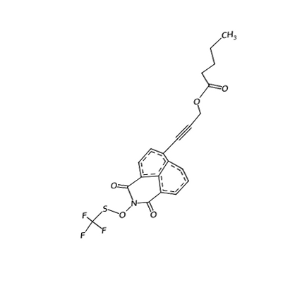 CCCCC(=O)OCC#Cc1ccc2c3c(cccc13)C(=O)N(OSC(F)(F)F)C2=O